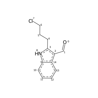 O=Cc1c(CCCCl)[nH]c2ccccc12